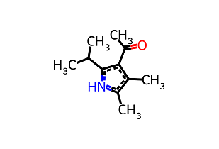 CC(=O)c1c(C(C)C)[nH]c(C)c1C